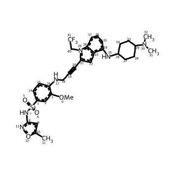 COc1cc(S(=O)(=O)Nc2cc(C)on2)ccc1NCC#Cc1cc2c(NC3CCC(N(C)C)CC3)cccc2n1CC(F)(F)F